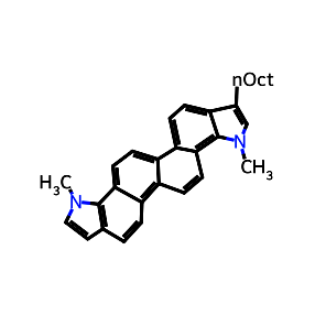 CCCCCCCCc1cn(C)c2c1ccc1c3ccc4c(ccc5ccn(C)c54)c3ccc12